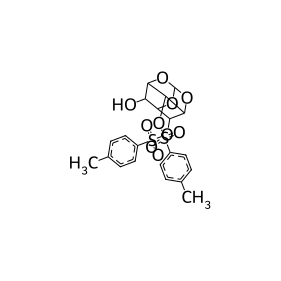 Cc1ccc(S(=O)(=O)OC2C3OC4OC(C3O)C(OS(=O)(=O)c3ccc(C)cc3)C2O4)cc1